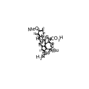 COc1c(C)cnc(Cn2nc3cc(CN)c4c-3c(n2)C(N(C(=O)O)C(=O)O)=NSC4(C(C)(C)C)C(C)(C)C)c1C